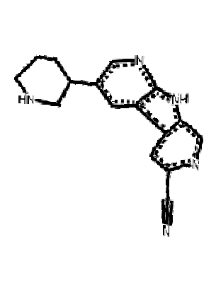 N#Cc1cc2c(cn1)[nH]c1ncc(C3CCCNC3)cc12